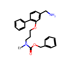 CCN(CCCOc1cc(CN)ccc1-c1ccccc1)C(=O)OCc1ccccc1